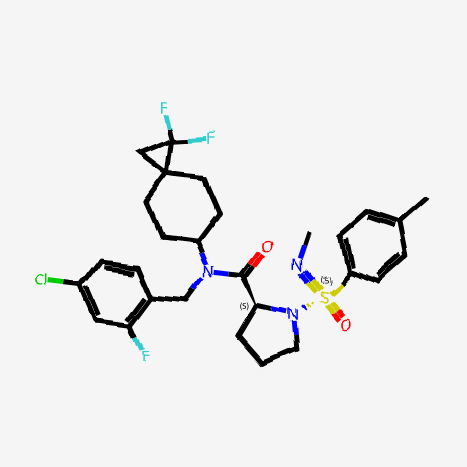 CN=[S@](=O)(c1ccc(C)cc1)N1CCC[C@H]1C(=O)N(Cc1ccc(Cl)cc1F)C1CCC2(CC1)CC2(F)F